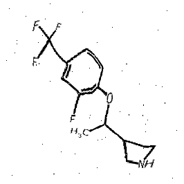 CC(Oc1ccc(C(F)(F)F)cc1F)C1CNC1